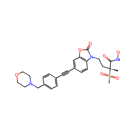 C[C@@](CCn1c(=O)oc2cc(C#Cc3ccc(CN4CCOCC4)cc3)ccc21)(C(=O)NO)S(C)(=O)=O